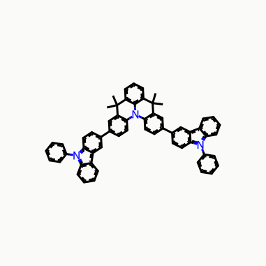 CC1(C)c2cc(-c3ccc4c(c3)c3ccccc3n4-c3ccccc3)ccc2N2c3ccc(-c4ccc5c(c4)c4ccccc4n5-c4ccccc4)cc3C(C)(C)c3cccc1c32